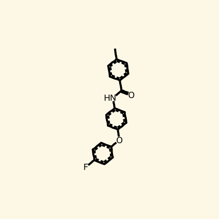 Cc1ccc(C(=O)Nc2ccc(Oc3ccc(F)cc3)cc2)cc1